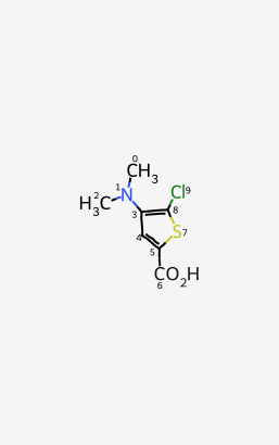 CN(C)c1cc(C(=O)O)sc1Cl